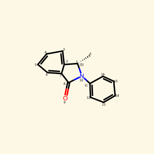 C[C@H]1c2ccccc2C(=O)N1c1ccccc1